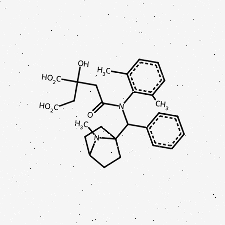 Cc1cccc(C)c1N(C(=O)CC(O)(CC(=O)O)C(=O)O)C(c1ccccc1)C12CCC(CC1)N2C